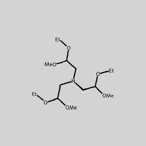 CCOC(CN(CC(OC)OCC)CC(OC)OCC)OC